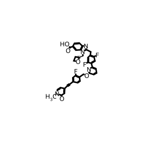 Cn1ccc(C#Cc2ccc(COc3cccc(-c4cc(F)c(Cc5nc6ccc(C(=O)O)cc6n5C[C@@H]5CCO5)cc4F)n3)c(F)c2)cc1=O